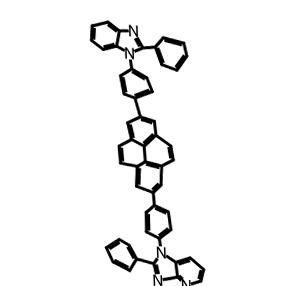 c1ccc(-c2nc3ccccc3n2-c2ccc(-c3cc4ccc5cc(-c6ccc(-n7c(-c8ccccc8)nc8ncccc87)cc6)cc6ccc(c3)c4c56)cc2)cc1